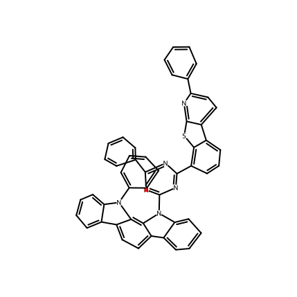 c1ccc(-c2ccc3c(n2)sc2c(-c4nc(-c5ccccc5)nc(-n5c6ccccc6c6ccc7c8ccccc8n(-c8ccccc8)c7c65)n4)cccc23)cc1